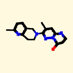 Cc1ccc2c(n1)CCN(c1nn3c(=O)ccnc3cc1C)C2